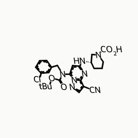 CC(C)(C)OC(=O)N(Cc1cccc(Cl)c1)c1cc(N[C@H]2CCCN(C(=O)O)C2)nc2c(C#N)cnn12